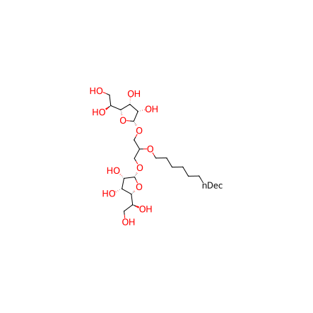 CCCCCCCCCCCCCCCCOC(CO[C@@H]1O[C@H]([C@@H](O)CO)[C@H](O)[C@@H]1O)CO[C@@H]1O[C@H]([C@@H](O)CO)[C@H](O)[C@@H]1O